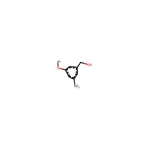 CC(C)Oc1cc([CH]O)cc([N+](=O)[O-])c1